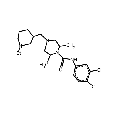 CCN1CCCC(CN2CC(C)N(C(=O)Nc3ccc(Cl)c(Cl)c3)C(C)C2)C1